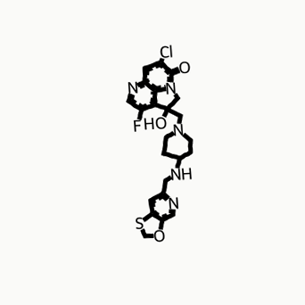 O=c1c(Cl)cc2ncc(F)c3c2n1CC3(O)CN1CCC(NCc2cc3c(cn2)OCS3)CC1